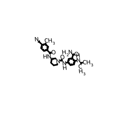 Cc1cc(C(=O)N[C@@H]2CCCN(C(=O)Nc3ccc(NC(C)C)c(C(N)=O)c3)C2)ccc1C#N